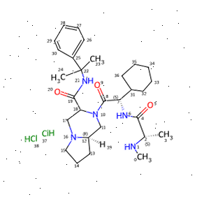 CN[C@@H](C)C(=O)N[C@H](C(=O)N1C[C@H]2CCCN2CC1C(=O)NC(C)(C)c1ccccc1)C1CCCCC1.Cl.Cl